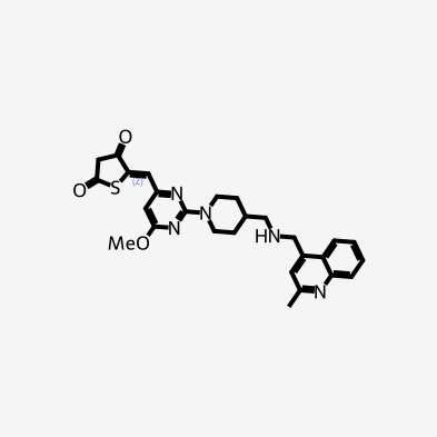 COc1cc(/C=C2\SC(=O)CC2=O)nc(N2CCC(CNCc3cc(C)nc4ccccc34)CC2)n1